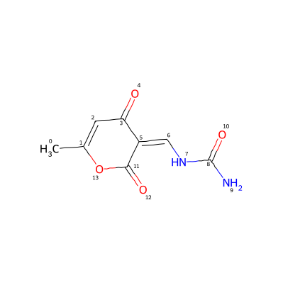 CC1=CC(=O)C(=CNC(N)=O)C(=O)O1